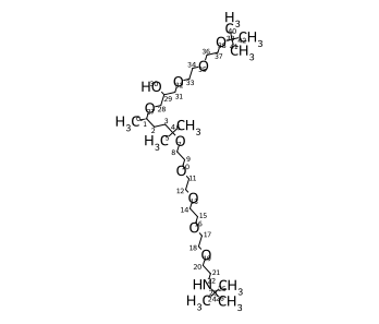 C[C@H](CCC(C)(C)OCCOCCOCCOCCOCCNC(C)(C)C)OCC(O)COCCOCCOC(C)(C)C